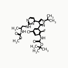 COC(=O)NC(C)CNc1nccc(-c2cn(C(C)C)nc2-c2cc(Cl)cc(NC(=O)OC(C)(C)C)c2F)n1